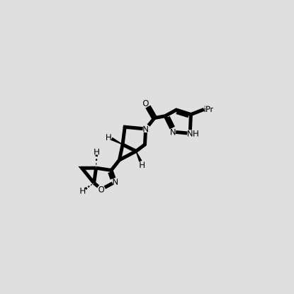 CC(C)c1cc(C(=O)N2C[C@@H]3C(C4=NO[C@H]5C[C@@H]45)[C@@H]3C2)n[nH]1